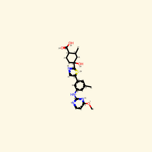 COc1ccnc(Nc2cc(C)cc(-c3cnc(C4(O)CCC(C(=O)O)C(C)C4)s3)c2)n1